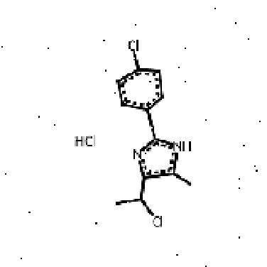 Cc1[nH]c(-c2ccc(Cl)cc2)nc1C(C)Cl.Cl